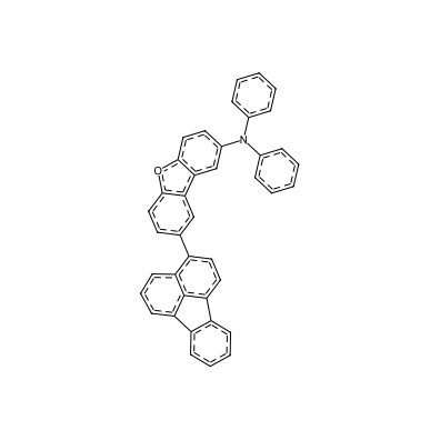 c1ccc(N(c2ccccc2)c2ccc3oc4ccc(-c5ccc6c7c(cccc57)-c5ccccc5-6)cc4c3c2)cc1